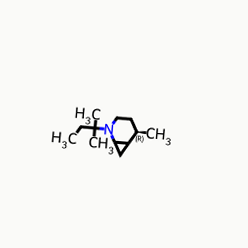 CCC(C)(C)N1CC[C@@H](C)C2CC21